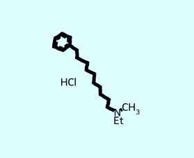 CCN(C)CCCCCCCCCCc1ccccc1.Cl